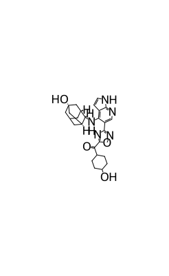 O=C(c1nc(-c2cnc3[nH]ccc3c2N[C@H]2[C@@H]3CC4C[C@H]2C[C@@](O)(C4)C3)no1)C1CCC(O)CC1